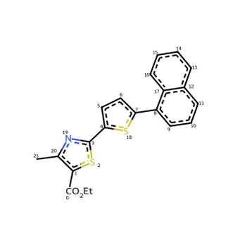 CCOC(=O)c1sc(-c2ccc(-c3cccc4ccccc34)s2)nc1C